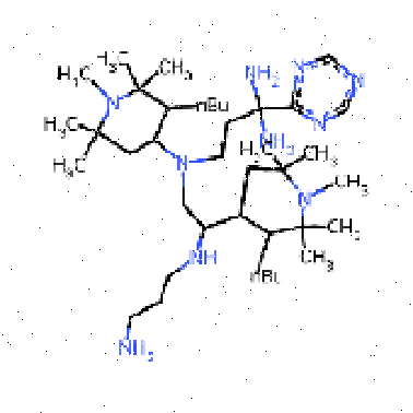 CCCCC1C(C(CN(CCC(N)(N)c2ncncn2)C2CC(C)(C)N(C)C(C)(C)C2CCCC)NCCCN)CC(C)(C)N(C)C1(C)C